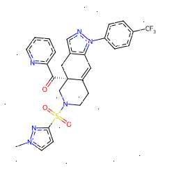 Cn1ccc(S(=O)(=O)N2CCC3=Cc4c(cnn4-c4ccc(C(F)(F)F)cc4)C[C@]3(C(=O)c3ccccn3)C2)n1